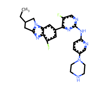 CCC1Cc2nc3c(F)cc(-c4nc(Nc5ccc(N6CCNCC6)cn5)ncc4F)cc3n2C1